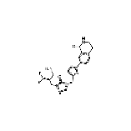 NCC(Cn1ncn(Cc2ccc(-c3ccc4c(c3)C(=O)NCC4)s2)c1=O)=C(F)F